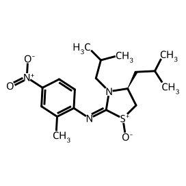 Cc1cc([N+](=O)[O-])ccc1N=C1N(CC(C)C)[C@@H](CC(C)C)C[S+]1[O-]